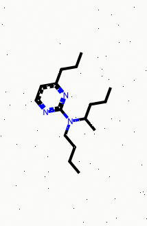 CCCCN(c1nccc(CCC)n1)C(C)CCC